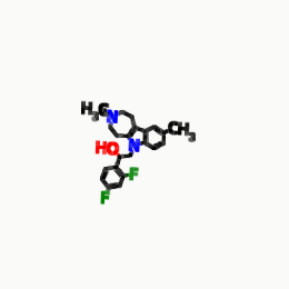 Cc1ccc2c(c1)c1c(n2CC(O)c2ccc(F)cc2F)CCN(C)CC1